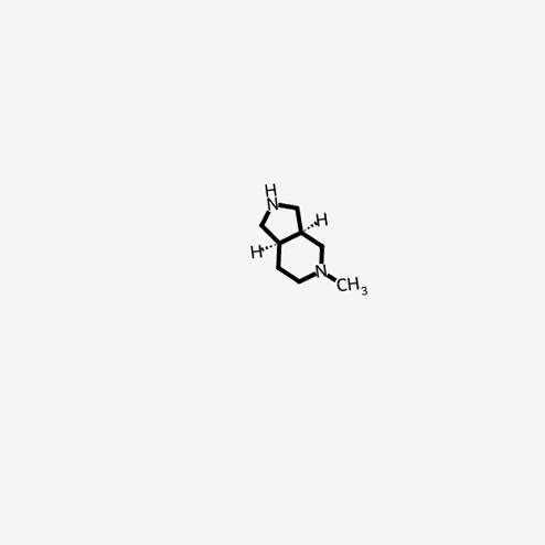 CN1CC[C@H]2CNC[C@H]2C1